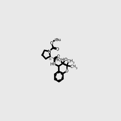 CC(C)(C)OC(=O)N1CCC[C@H]1C(=O)NC1c2ccccc2OC(C)(C)C1(O)O